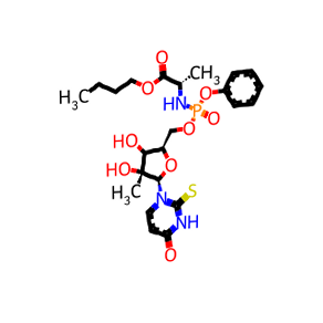 CCCCOC(=O)[C@H](C)NP(=O)(OC[C@H]1O[C@@H](n2ccc(=O)[nH]c2=S)[C@](C)(O)C1O)Oc1ccccc1